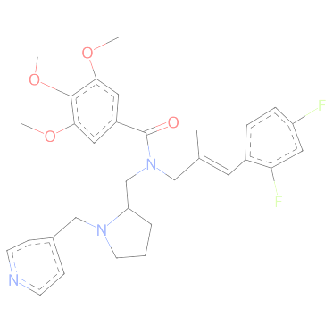 COc1cc(C(=O)N(C/C(C)=C/c2ccc(F)cc2F)CC2CCCN2Cc2ccncc2)cc(OC)c1OC